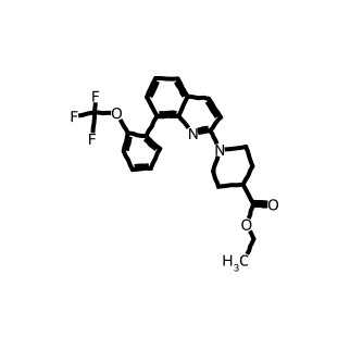 CCOC(=O)C1CCN(c2ccc3cccc(-c4ccccc4OC(F)(F)F)c3n2)CC1